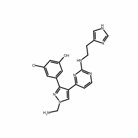 NCn1cc(-c2ccnc(NCCc3c[nH]cn3)n2)c(-c2cc(O)cc(Cl)c2)n1